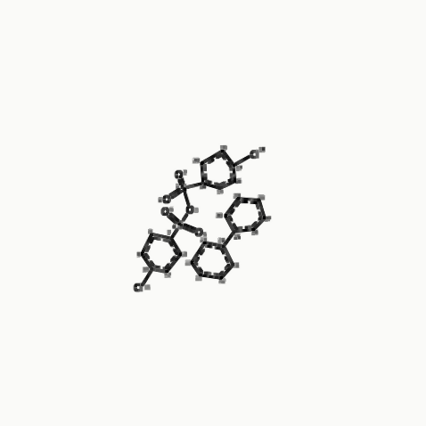 O=S(=O)(OS(=O)(=O)c1ccc(Cl)cc1)c1ccc(Cl)cc1.c1ccc(-c2ccccc2)cc1